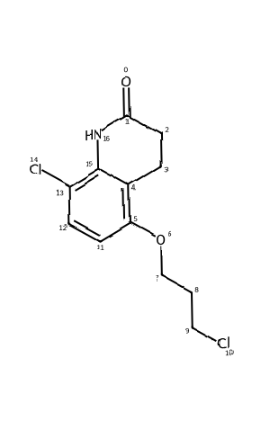 O=C1CCc2c(OCCCCl)ccc(Cl)c2N1